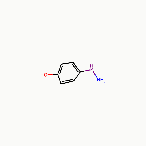 NPc1ccc(O)cc1